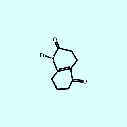 CCN1C(=O)CCC2=C1CCCC2=O